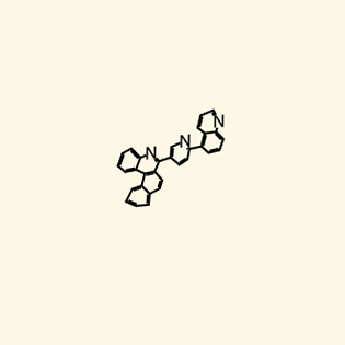 c1ccc2c(c1)ccc1c(-c3ccc(-c4cccc5ncccc45)nc3)nc3ccccc3c12